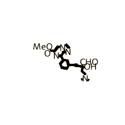 COC(=O)c1cn2ccnc2c(-c2cccc(C#C[C@@](O)(C=O)CCN(C)C)c2)n1